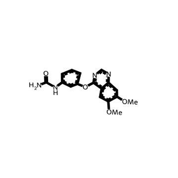 COc1cc2ncnc(Oc3cccc(NC(N)=O)c3)c2cc1OC